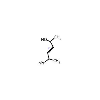 CCCC(C)/C=C/C(C)O